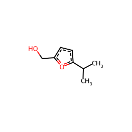 CC(C)c1ccc(CO)o1